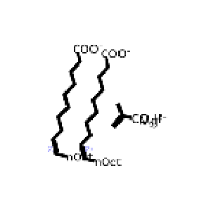 C=C(C)C(=O)O.CCCCCCCC/C=C\CCCCCCCC(=O)[O-].CCCCCCCC/C=C\CCCCCCCC(=O)[O-].[Mg+2]